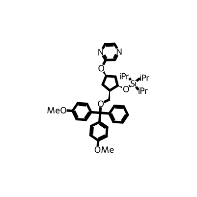 COc1ccc(C(OC[C@H]2C[C@@H](Oc3cnccn3)C[C@@H]2O[Si](C(C)C)(C(C)C)C(C)C)(c2ccccc2)c2ccc(OC)cc2)cc1